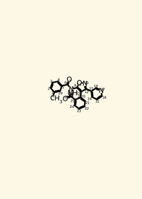 Cc1cccc(C(=O)Nc2onc(-c3cccnc3)c2-c2ccccc2C(N)=O)c1